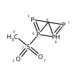 CS(=O)(=O)P12=PC13P=[PH]32